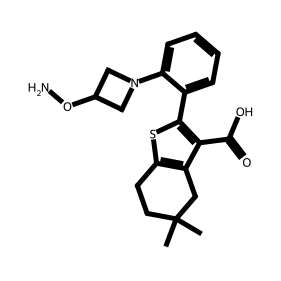 CC1(C)CCc2sc(-c3ccccc3N3CC(ON)C3)c(C(=O)O)c2C1